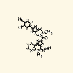 C/C(=N/O)c1cc(C(=O)N[C@@H](C)Cn2ccc(-c3ccc(C#N)c(Cl)c3)n2)nn1C1CCCCO1